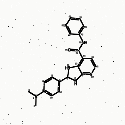 CN(C)c1ccc(C2Nc3nccc(C(=O)Nc4cccnc4)c3N2)cc1